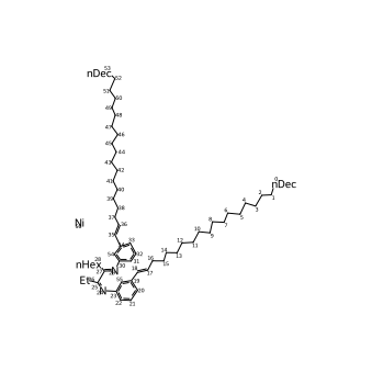 CCCCCCCCCCCCCCCCCCCCCCCCCCC=Cc1cccc(N=C(CC)C(CCCCCC)=Nc2cccc(C=CCCCCCCCCCCCCCCCCCCCCCCCCCC)c2)c1.[Ni]